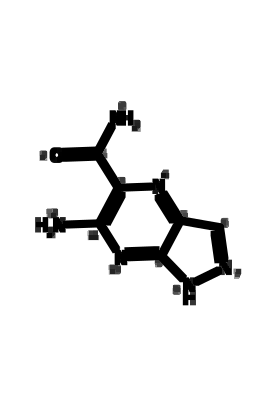 NC(=O)c1nc2cn[nH]c2nc1N